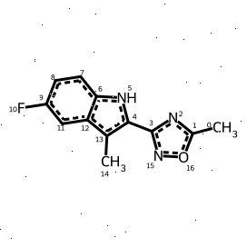 Cc1nc(-c2[nH]c3ccc(F)cc3c2C)no1